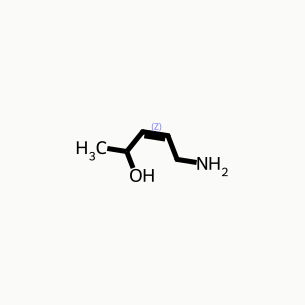 CC(O)/C=C\CN